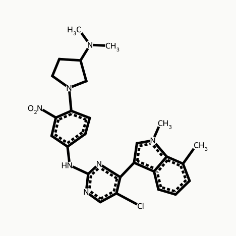 Cc1cccc2c(-c3nc(Nc4ccc(N5CCC(N(C)C)C5)c([N+](=O)[O-])c4)ncc3Cl)cn(C)c12